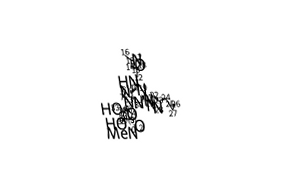 CNC(=O)[C@H]1O[C@@H](n2cnc3c(NCc4cc(C)no4)nc(-n4cc(CC5CC5)nn4)nc32)[C@H](O)[C@@H]1O